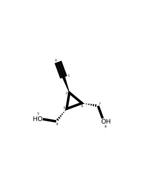 C#C[C@@H]1[C@@H](CO)[C@H]1CO